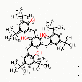 CC(C)(C)c1cc(Cc2cc(Cc3cc(C(C)(C)C)cc(C(C)(C)C)c3O)c(O)c(Cc3cc(C(C)(C)C)cc(C(C)(C)C)c3O)c2)c(O)c(C(C)(C)C)c1